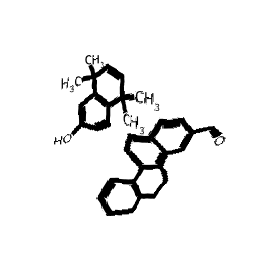 CC1(C)C=CC(C)(C)c2cc(O)ccc21.O=Cc1ccc2ccc3c(c2c1)CCC1=C3C=CCC1